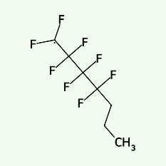 CCCC(F)(F)C(F)(F)C(F)(F)[C](F)F